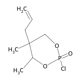 C=CCC1(C)COP(=O)(Cl)OC1C